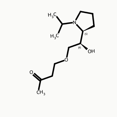 CC(=O)CCOC[C@H](O)[C@@H]1CCCN1C(C)C